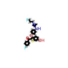 O=C(c1ccc(F)cc1)c1sc2cc(O)ccc2c1Oc1ccc(NC2CN(CCCF)C2)cc1